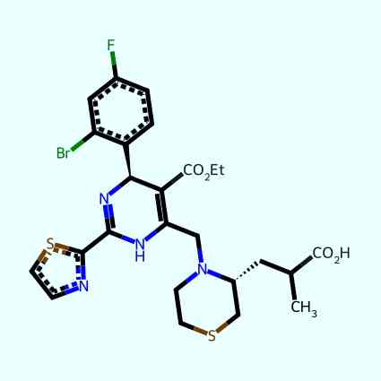 CCOC(=O)C1=C(CN2CCSC[C@H]2CC(C)C(=O)O)NC(c2nccs2)=N[C@H]1c1ccc(F)cc1Br